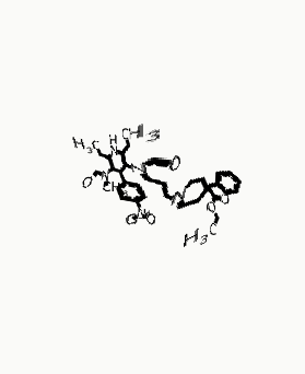 CCOC(=O)C1(c2ccccc2)CCN(CCCN(C=O)C2=C(CC)NC(CC)=C(N(C)C=O)C2c2ccc([N+](=O)[O-])cc2)CC1